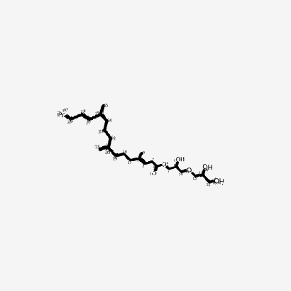 C/C(=C\CC(=O)OCC(O)COCC(O)CO)CCCC(C)CCCC(C)CCCC(C)C